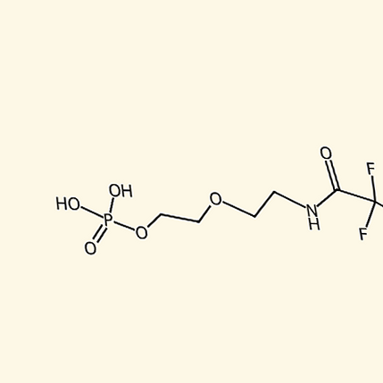 O=C(NCCOCCOP(=O)(O)O)C(F)(F)F